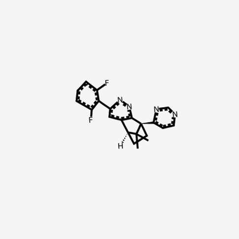 CC1(C)[C@H]2CC[C@@]1(c1ccncn1)c1nnc(-c3c(F)cccc3F)cc12